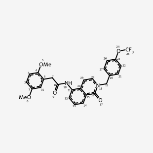 COc1ccc(OC)c(CC(=O)Nc2cccc3c(=O)n(Cc4ccc(OC(F)(F)F)cc4)ccc23)c1